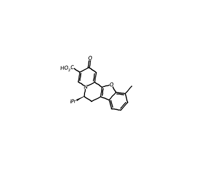 Cc1cccc2c3c(oc12)-c1cc(=O)c(C(=O)O)cn1[C@H](C(C)C)C3